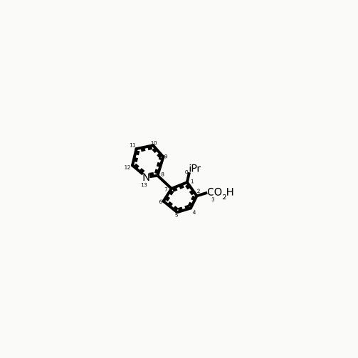 CC(C)c1c(C(=O)O)cccc1-c1ccccn1